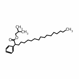 CCCCCCCCCCCCCCCCC(C(=O)OCC(C)C)c1ccccc1